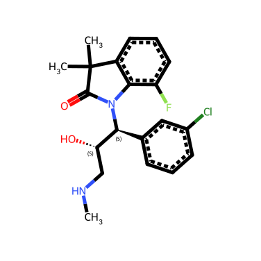 CNC[C@H](O)[C@H](c1cccc(Cl)c1)N1C(=O)C(C)(C)c2cccc(F)c21